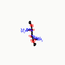 NC[C@H](N)C(=O)N[C@@H](CCC(=O)OCc1ccccc1)C(=O)NCCCCCCNC(=O)[C@H](CCC(=O)OCc1ccccc1)NC(=O)[C@@H](N)CN